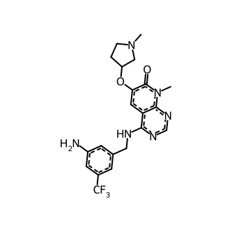 CN1CCC(Oc2cc3c(NCc4cc(N)cc(C(F)(F)F)c4)ncnc3n(C)c2=O)C1